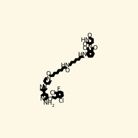 Nc1ncc(-c2cnn(C3CCN(C(=O)CCCCCCC(=O)NCCCCCCCNc4cccc5c4C(=O)N([C@@H]4CCC(=O)NC4=O)C5=O)CC3)c2)cc1OCCc1c(Cl)ccc(F)c1Cl